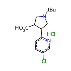 CC(C)(C)N1CC(C(=O)O)C(c2ccc(Cl)cn2)C1.Cl